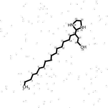 CCCCCCCCCCCCCCCCC(CCO)C1NCCN1